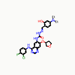 CCN(CC)c1ccc(/C=N/NC(=O)Nc2cc3c(Nc4ccc(F)c(Cl)c4)ncnc3cc2OC2CCOC2)c(O)c1